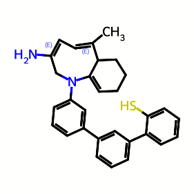 C/C1=C\C=C(\N)CN(c2cccc(-c3cccc(-c4ccccc4S)c3)c2)C2=CCCCC21